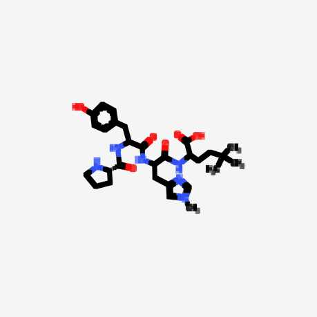 Cn1cnc(CC(NC(=O)C(Cc2ccc(O)cc2)NC(=O)[C@@H]2CCCN2)C(=O)NC(CCC(C)(C)C)C(=O)O)c1